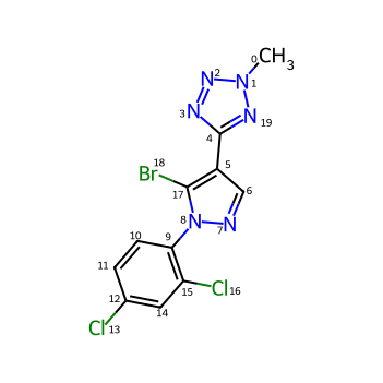 Cn1nnc(-c2cnn(-c3ccc(Cl)cc3Cl)c2Br)n1